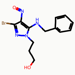 O=Nc1c(Br)nn(CCCO)c1NCc1ccccc1